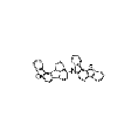 c1ccc2c(c1)oc1ccc3c(c12)-c1cccc2c(-n4c5ccccc5c5c6sc7ccccc7c6ccc54)ccc-3c12